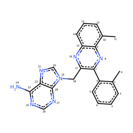 Cc1ccccc1-c1nc2c(C)cccc2nc1Cn1cnc2c(N)ncnc21